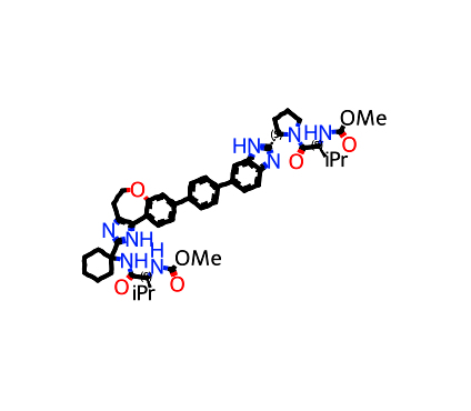 COC(=O)N[C@H](C(=O)NC1(c2nc3c([nH]2)-c2ccc(-c4ccc(-c5ccc6nc([C@@H]7CCCN7C(=O)[C@@H](NC(=O)OC)C(C)C)[nH]c6c5)cc4)cc2OCC3)CCCCC1)C(C)C